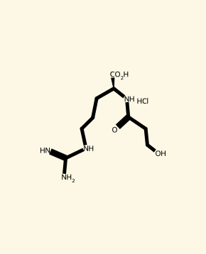 Cl.N=C(N)NCCC[C@H](NC(=O)CCO)C(=O)O